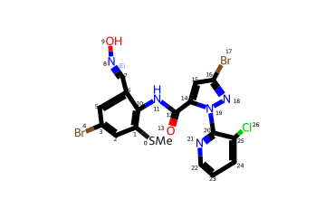 CSc1cc(Br)cc(/C=N/O)c1NC(=O)c1cc(Br)nn1-c1ncccc1Cl